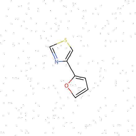 [c]1nc(-c2ccco2)cs1